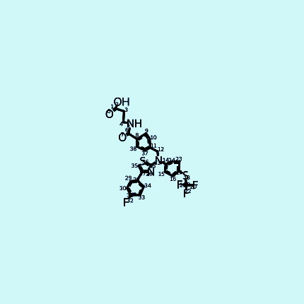 O=C(O)CCNC(=O)c1ccc(CN(c2ccc(SC(F)(F)F)cc2)c2nc(-c3ccc(F)cc3)cs2)cc1